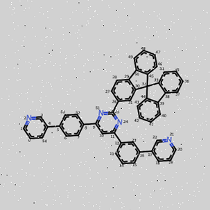 c1cncc(-c2ccc(-c3cc(-c4cccc(-c5cccnc5)c4)nc(-c4ccc5c(c4)C4(c6ccccc6-c6ccccc64)c4ccccc4-5)n3)cc2)c1